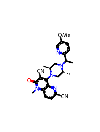 COc1ccc(C(C)N2C[C@H](C)N(c3c(C#N)c(=O)n(C)c4ccc(C#N)nc34)C[C@H]2C)nc1